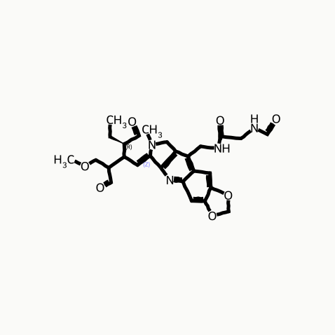 CC[C@@H](C=O)C(/C=C1/c2nc3cc4c(cc3c(CNC(=O)CNC=O)c2CN1C)OCO4)C(C=O)COC